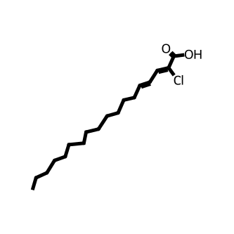 CCCCCCCCCCCCCC=CC=C(Cl)C(=O)O